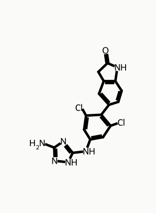 Nc1n[nH]c(Nc2cc(Cl)c(-c3ccc4c(c3)CC(=O)N4)c(Cl)c2)n1